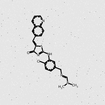 CN(C)C=NCc1ccc(Cl)c(NC2=NC(=O)/C(=C/c3ccc4ncccc4c3)S2)c1